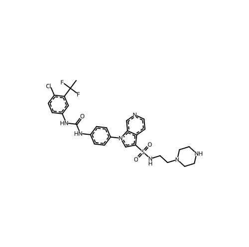 CC(F)(F)c1cc(NC(=O)Nc2ccc(-n3cc(S(=O)(=O)NCCN4CCNCC4)c4ccncc43)cc2)ccc1Cl